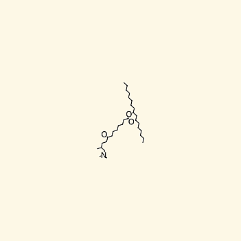 CCCCCCCCC(CCCCCCCC)OC(=O)CCCCCCC(=O)CCC(C)CN(C)C